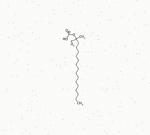 CCCCCCCCCCCCCCCC(C)(C)O[PH](=O)O